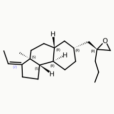 C/C=C1/CC[C@H]2[C@@H]3CC[C@@H](C[C@]4(CCC)CO4)C[C@H]3CC[C@]12C